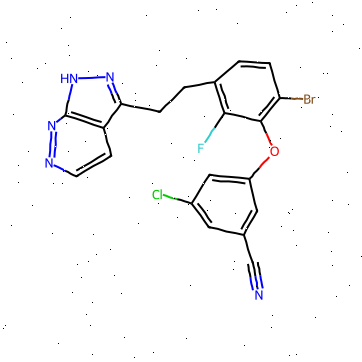 N#Cc1cc(Cl)cc(Oc2c(Br)ccc(CCc3n[nH]c4nnccc34)c2F)c1